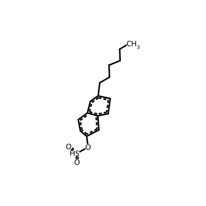 CCCCCCc1ccc2cc(O[SH](=O)=O)ccc2c1